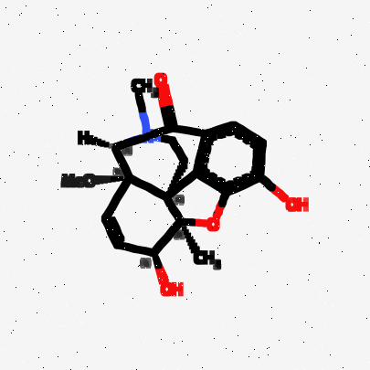 CO[C@@]12C=C[C@H](O)[C@]3(C)Oc4c(O)ccc5c4[C@@]31CCN(C)[C@@H]2C5=O